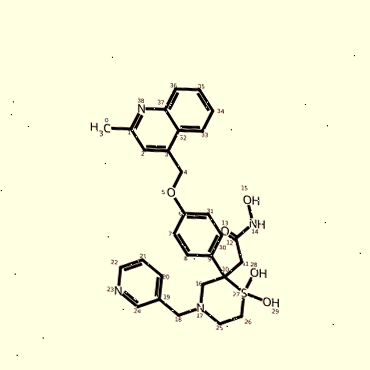 Cc1cc(COc2ccc(C3(CC(=O)NO)CN(Cc4cccnc4)CCS3(O)O)cc2)c2ccccc2n1